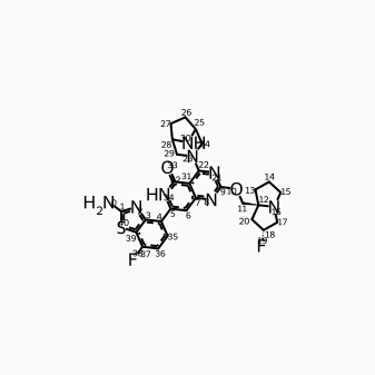 Nc1nc2c(-c3cc4nc(OC[C@@]56CCCN5C[C@H](F)C6)nc(N5CC6CCC(C5)N6)c4c(=O)[nH]3)ccc(F)c2s1